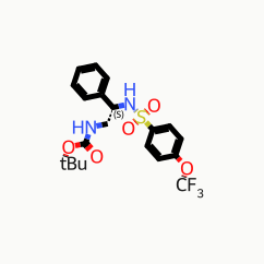 CC(C)(C)OC(=O)NC[C@@H](NS(=O)(=O)c1ccc(OC(F)(F)F)cc1)c1ccccc1